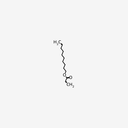 C=CCCCCCCCCOC(=O)C=C